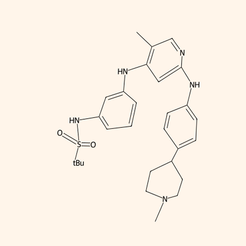 Cc1cnc(Nc2ccc(C3CCN(C)CC3)cc2)cc1Nc1cccc(NS(=O)(=O)C(C)(C)C)c1